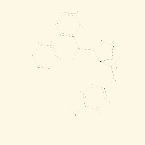 O=C(c1ncccc1-c1ncccn1)N1CC2CC(Nc3cnc(C(F)(F)F)cn3)C1C2